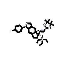 CC[Si](CC)(CC)O[C@@]1(/C=C/B2OC(C)(C)C(C)(C)O2)CCC2=Cc3c(cnn3-c3ccc(F)cc3)C[C@@]21C